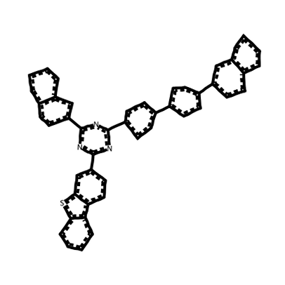 c1ccc2cc(-c3ccc(-c4ccc(-c5nc(-c6ccc7ccccc7c6)nc(-c6ccc7c(c6)sc6ccccc67)n5)cc4)cc3)ccc2c1